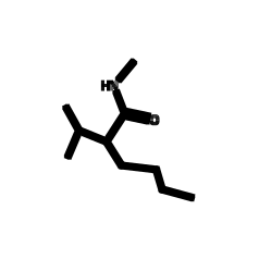 CCCCC(C(=O)NC)C(C)C